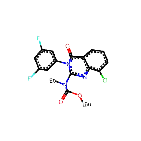 CCN(C(=O)OC(C)(C)C)c1nc2c(Cl)cccc2c(=O)n1-c1cc(F)cc(F)c1